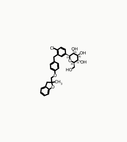 CC1(COc2ccc(Cc3cc([C@@H]4O[C@H](CO)[C@@H](O)[C@H](O)[C@H]4O)ccc3Cl)cc2)Cc2ccccc2O1